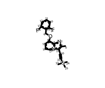 Cc1nc2c(OCc3c(F)cccc3F)cccn2c1C#CS(C)(C)C